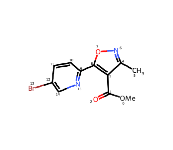 COC(=O)c1c(C)noc1-c1ccc(Br)cn1